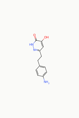 Nc1ccc(CCc2cc(O)c(=O)[nH]n2)cc1